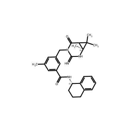 Cc1cc(CN2C(=N)N[C@@]3(C)C(C2=O)C3(C)C)cc(C(=O)N[C@H]2CCCc3ccccc32)c1